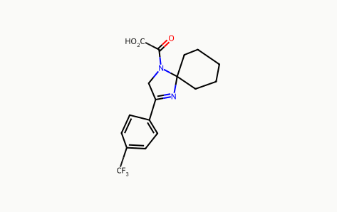 O=C(O)C(=O)N1CC(c2ccc(C(F)(F)F)cc2)=NC12CCCCC2